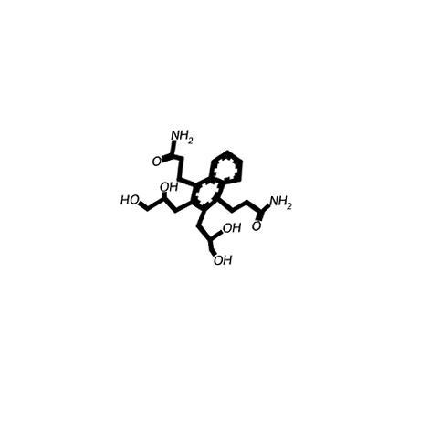 NC(=O)CCc1c(CC(O)CO)c(CC(O)CO)c(CCC(N)=O)c2ccccc12